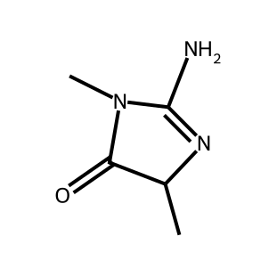 CC1N=C(N)N(C)C1=O